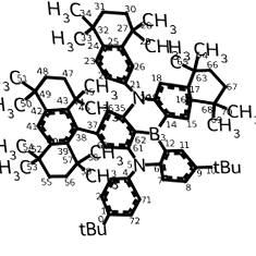 CC(C)(C)c1ccc(N2c3ccc(C(C)(C)C)cc3B3c4cc5c(cc4N(c4ccc6c(c4)C(C)(C)CCC6(C)C)c4cc(-c6c7c(cc8c6C(C)(C)CCC8(C)C)C(C)(C)CCC7(C)C)cc2c43)C(C)(C)CCC5(C)C)cc1